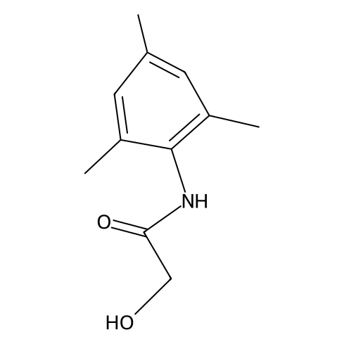 Cc1cc(C)c(NC(=O)CO)c(C)c1